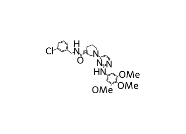 COc1cc(Nc2nccc(N3CCC[C@@H](C(=O)NCc4cccc(Cl)c4)C3)n2)cc(OC)c1OC